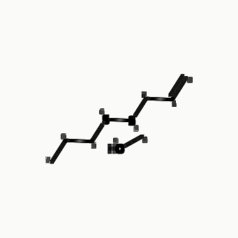 C=CCSSCCC.CO